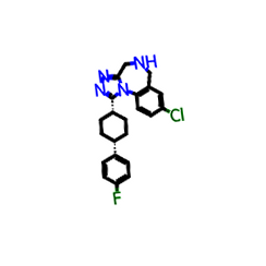 Fc1ccc([C@H]2CC[C@@H](c3nnc4n3-c3ccc(Cl)cc3CNC4)CC2)cc1